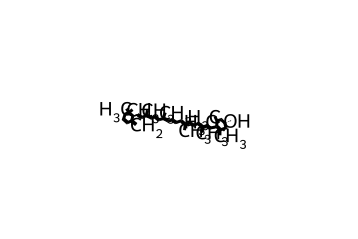 C=C1C=CCC(C)(C)[C@H]1/C=C/C(C)=C/C=C/C(C)=C/C=C/C=C(C)/C=C/C=C(C)/C=C/C1=C(C)C[C@@H](O)CC1(C)C